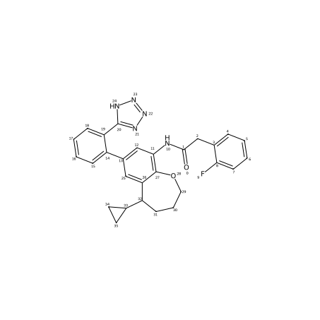 O=C(Cc1ccccc1F)Nc1cc(-c2ccccc2-c2nnn[nH]2)cc2c1OCCCC2C1CC1